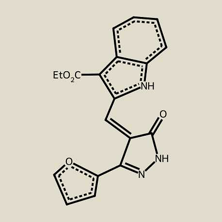 CCOC(=O)c1c(C=C2C(=O)NN=C2c2ccco2)[nH]c2ccccc12